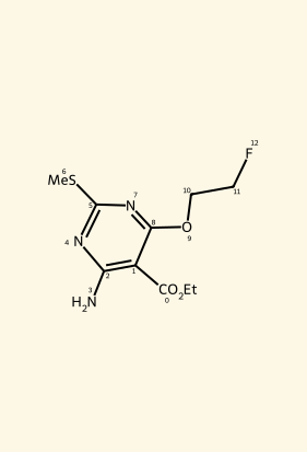 CCOC(=O)c1c(N)nc(SC)nc1OCCF